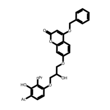 CCCc1c(OCC(O)COc2ccc3c(OCc4ccccc4)cc(=O)oc3c2)ccc(C(C)=O)c1O